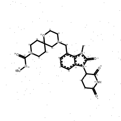 Cn1c(=O)n(C2CCC(=O)NC2=O)c2cccc(CN3CCOC4(CCN(C(=O)OC(C)(C)C)CC4)C3)c21